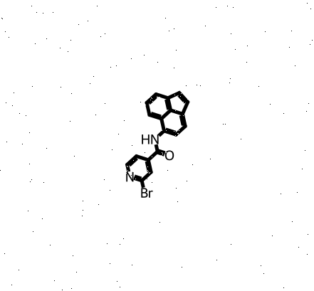 O=C(Nc1ccc2c3c(cccc13)C=C2)c1ccnc(Br)c1